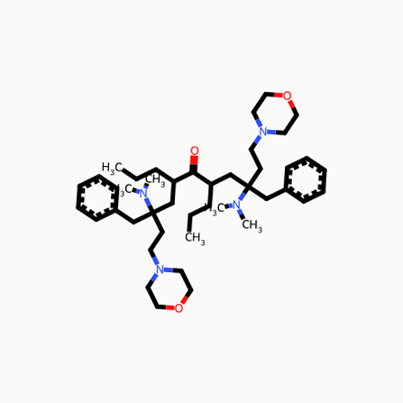 CCCC(CC(CCN1CCOCC1)(Cc1ccccc1)N(C)C)C(=O)C(CCC)CC(CCN1CCOCC1)(Cc1ccccc1)N(C)C